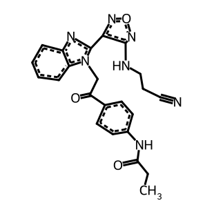 CCC(=O)Nc1ccc(C(=O)Cn2c(-c3nonc3NCCC#N)nc3ccccc32)cc1